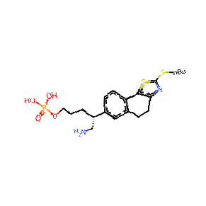 CCCCSc1nc2c(s1)-c1ccc([C@H](CN)CCCOP(=O)(O)O)cc1CC2